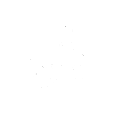 CN(CC(F)F)C(C)(C)C=C(C#N)C(=O)N1CCCC[C@@H]1COC(=O)N[C@H](CB(O)O)c1ccccc1